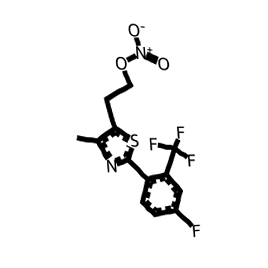 Cc1nc(-c2ccc(F)cc2C(F)(F)F)sc1CCO[N+](=O)[O-]